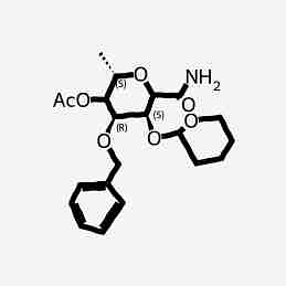 CC(=O)OC1[C@H](C)OC(C(N)=O)[C@@H](OC2CCCCO2)[C@H]1OCc1ccccc1